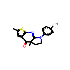 Cc1cc2c(s1)N=C1N(c3ccc(C#N)cc3)CCC1(C)C2=O